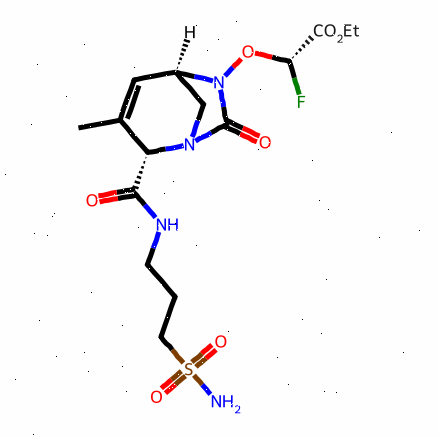 CCOC(=O)[C@H](F)ON1C(=O)N2C[C@H]1C=C(C)[C@H]2C(=O)NCCCS(N)(=O)=O